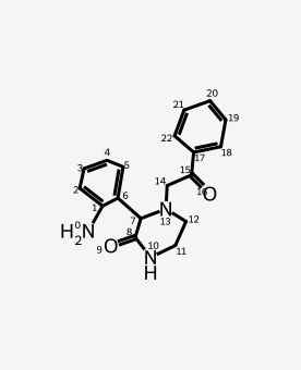 Nc1ccccc1C1C(=O)NCCN1CC(=O)c1ccccc1